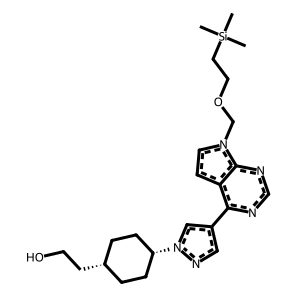 C[Si](C)(C)CCOCn1ccc2c(-c3cnn([C@H]4CC[C@@H](CCO)CC4)c3)ncnc21